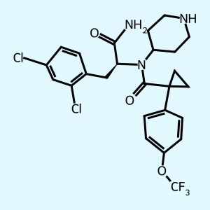 NC(=O)[C@H](Cc1ccc(Cl)cc1Cl)N(C(=O)C1(c2ccc(OC(F)(F)F)cc2)CC1)C1CCNCC1